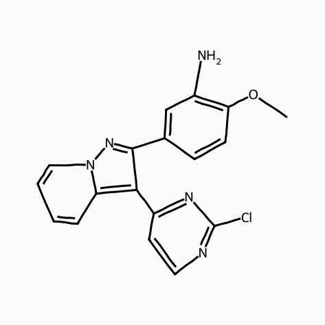 COc1ccc(-c2nn3ccccc3c2-c2ccnc(Cl)n2)cc1N